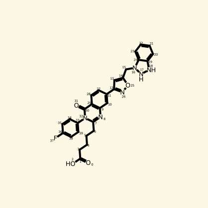 O=C(O)CCCCc1nc2cc(-c3cc(CN4NNc5ccccc54)on3)ccc2c(=O)n1-c1ccc(F)cc1